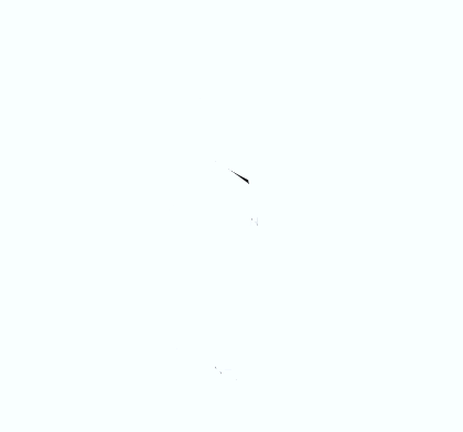 NS(=O)(=O)c1ccc2c(c1)N(CC1CCC1)C[C@@]1(CCCc3cc(Cl)ccc31)CO2